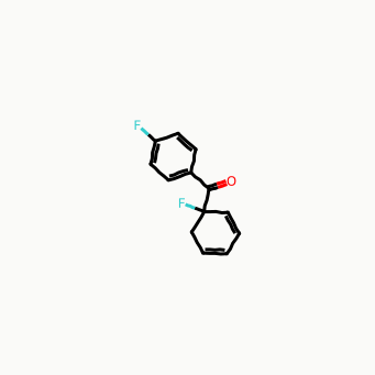 O=C(c1ccc(F)cc1)C1(F)C=CC=CC1